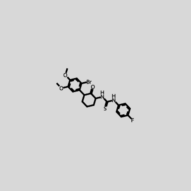 COc1cc(Br)c(C2CCCC(NC(=S)Nc3ccc(F)cc3)C2=O)cc1OC